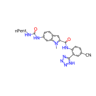 CCCCCNC(=O)Nc1ccc2cc(C(=O)Nc3ccc(C#N)cc3-c3nnn[nH]3)n(C)c2c1